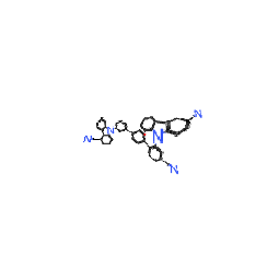 N#Cc1ccc(-c2ccc(-c3cccc(-n4c5ccccc5c5c(C#N)cccc54)c3)cc2)c(-n2c3ccccc3c3cc(C#N)ccc32)c1